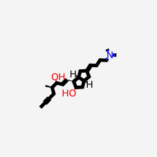 CC#CC[C@@H](C)[C@H](O)/C=C/[C@@H]1[C@H]2C/C(=C/CCCN(C)C)C[C@H]2C[C@H]1O